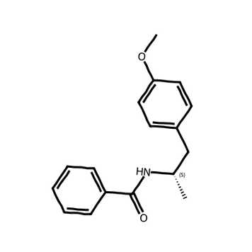 COc1ccc(C[C@H](C)NC(=O)c2ccccc2)cc1